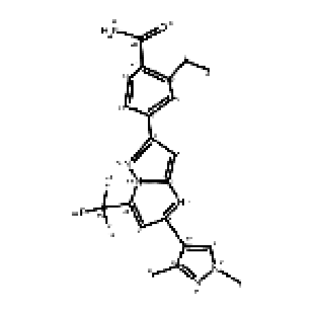 CCc1cc(-c2cc3nc(-c4cn(C)nc4C)cc(C(F)(F)F)n3n2)ccc1C(N)=O